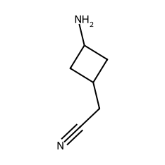 N#CCC1CC(N)C1